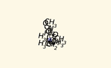 C=N/C(NC1(C)CC1)=C(\C)C(C(=O)NCc1nc2cc(OC)ccc2o1)=C(C)C